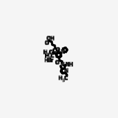 Br.CCc1ccc2c(n1)C(=N)N(CC(=O)c1cc(N3CCCC3)c(OCCCCC(=O)O)c(C(C)(C)C)c1)C2